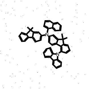 CC1(C)c2ccccc2-c2ccc(N(c3ccc4c(c3)C(C)(C)c3cccc(-n5c6ccccc6c6ccccc65)c3-4)c3cccc4ccccc34)cc21